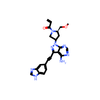 C=CC(=O)N1CC(n2nc(C#Cc3ccc4[nH]cnc4c3)c3c(N)ncnc32)C[C@@H]1COC